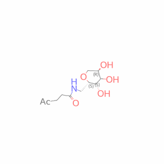 CC(=O)CCC(=O)NC[C@@H]1OC[C@@H](O)C(O)[C@@H]1O